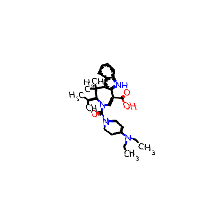 CCN(CC)C1CCN(C(=O)N2C=C(C(=O)O)c3[nH]c4ccccc4c3C(C)(C)C2C(C)C)CC1